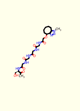 CC(=O)[C@@H](CO)NC(=O)CNC(=O)CNC(=O)CNC(=O)CNC(=O)COC1CCCCCc2c1nnn2C